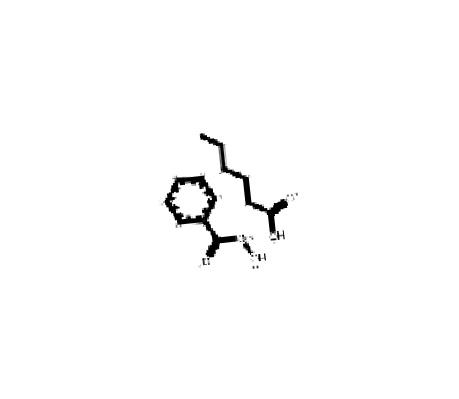 CCCCCC(=O)O.O=C(OO)c1ccccc1